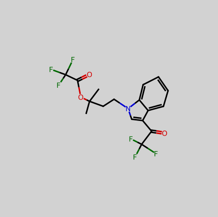 CC(C)(CCn1cc(C(=O)C(F)(F)F)c2ccccc21)OC(=O)C(F)(F)F